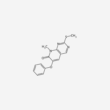 CSc1ncc2cc(Oc3ccccc3)c(=O)n(C)c2n1